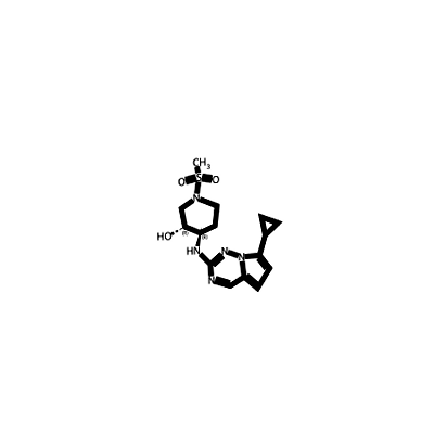 CS(=O)(=O)N1CC[C@@H](Nc2ncc3ccc(C4CC4)n3n2)[C@H](O)C1